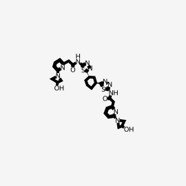 O=C(Cc1cccc(N2CC(O)C2)n1)Nc1nnc([C@H]2CCC[C@H](c3nnc(NC(=O)Cc4cccc(N5CC(O)C5)n4)s3)C2)s1